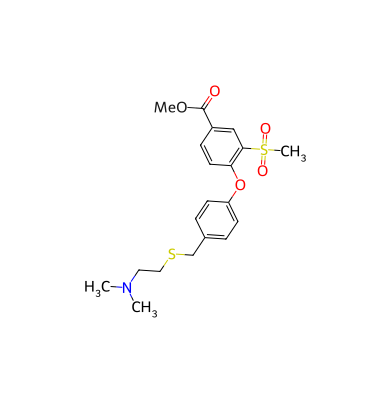 COC(=O)c1ccc(Oc2ccc(CSCCN(C)C)cc2)c(S(C)(=O)=O)c1